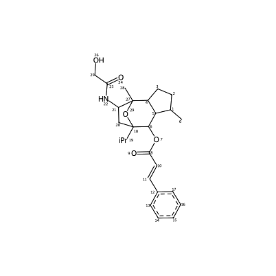 CC1CCC2C1C(OC(=O)/C=C/c1ccccc1)C1(C(C)C)CC(NC(=O)CO)C2(C)O1